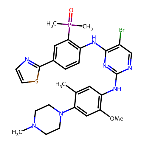 COc1cc(N2CCN(C)CC2)c(C)cc1Nc1ncc(Br)c(Nc2ccc(-c3nccs3)cc2P(C)(C)=O)n1